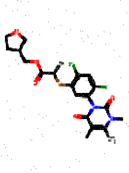 CCC(Sc1cc(-n2c(=O)c(C)c(C(F)(F)F)n(C)c2=O)c(F)cc1Cl)C(=O)OCC1CCOC1